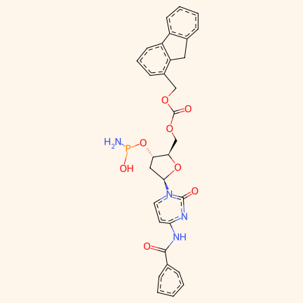 NP(O)O[C@H]1C[C@H](n2ccc(NC(=O)c3ccccc3)nc2=O)O[C@@H]1COC(=O)OCc1cccc2c1Cc1ccccc1-2